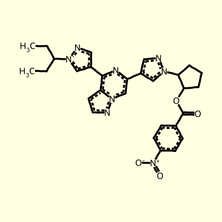 CCC(CC)n1cc(-c2nc(-c3cnn(C4CCCC4OC(=O)c4ccc([N+](=O)[O-])cc4)c3)cn3nccc23)cn1